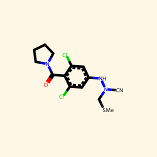 CSCN(C#N)Nc1cc(Cl)c(C(=O)N2CCCC2)c(Cl)c1